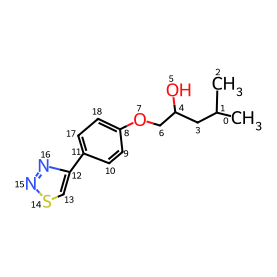 CC(C)CC(O)COc1ccc(-c2csnn2)cc1